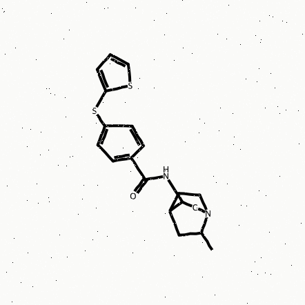 CC1CC2CCN1CC2NC(=O)c1ccc(Sc2cccs2)cc1